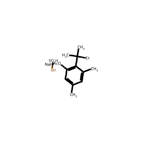 CCC(C)(C)c1c(C)cc(C)cc1OC(C)=O.O=S(=O)(O)S.[NaH]